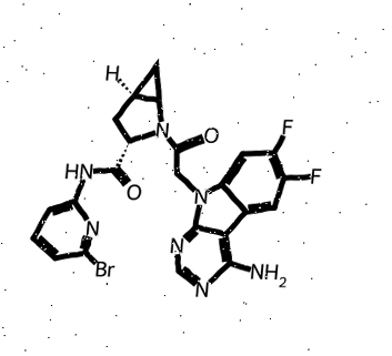 Nc1ncnc2c1c1cc(F)c(F)cc1n2CC(=O)N1C2C[C@@H]2C[C@H]1C(=O)Nc1cccc(Br)n1